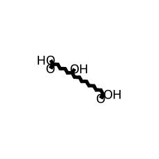 O=C(O)CCCCCCCCC(O)CCCCC(=O)O